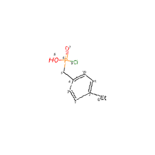 CCc1ccc(CP(=O)(O)Cl)cc1